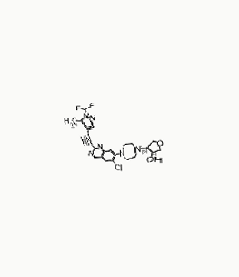 Cc1c(Nc2ncc3cc(Cl)c(N4CCN([C@H]5COC[C@H]5O)CC4)cc3n2)cnn1C(F)F